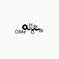 COc1ccccc1CNC(=O)C(Br)CCBr